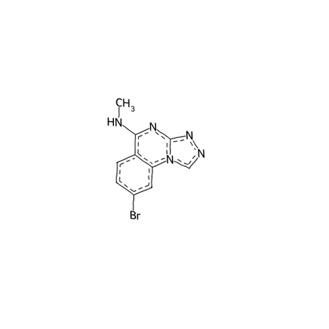 CNc1nc2nncn2c2cc(Br)ccc12